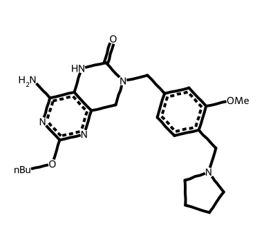 CCCCOc1nc(N)c2c(n1)CN(Cc1ccc(CN3CCCC3)c(OC)c1)C(=O)N2